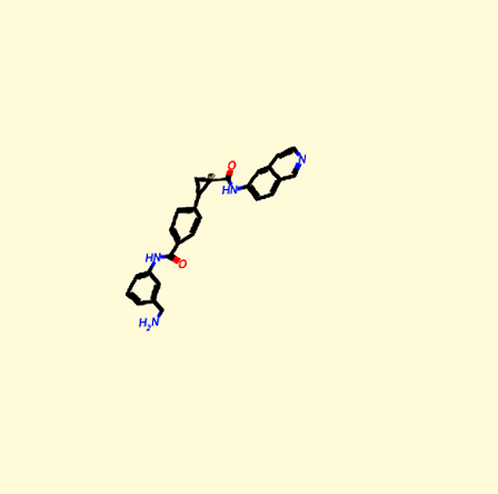 NCc1cccc(NC(=O)c2ccc(C3C[C@H]3C(=O)Nc3ccc4cnccc4c3)cc2)c1